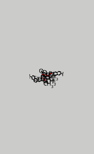 CCOc1ccc(C(CCCc2ccc3cc(I)ccc3c2)(OC(=O)CC(=O)OC(CCCc2ccc3cc(I)ccc3c2)(c2ccc(OCC)c(Cl)c2)N(C)C)N(C)C)cc1Cl